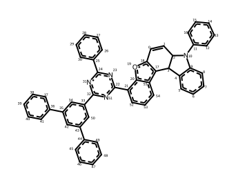 C1=CC2C(c3ccccc3N2c2ccccc2)c2c1oc1c(-c3nc(-c4ccccc4)nc(-c4cc(-c5ccccc5)cc(-c5ccccc5)c4)n3)cccc21